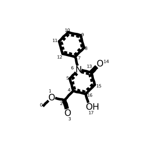 COC(=O)c1cn(-c2ccccc2)c(=O)cc1O